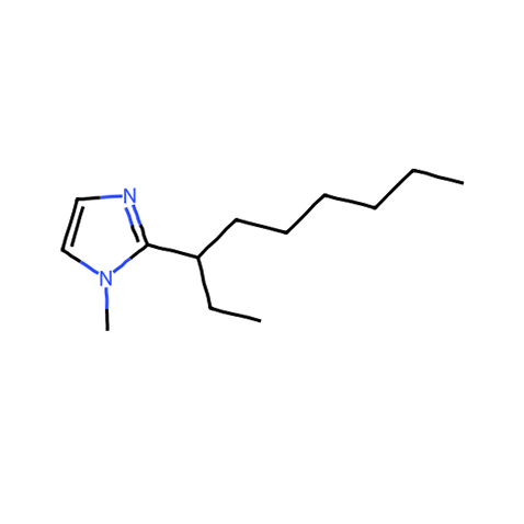 CCCCCCC(CC)c1nccn1C